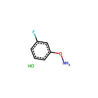 Cl.NOc1cccc(F)c1